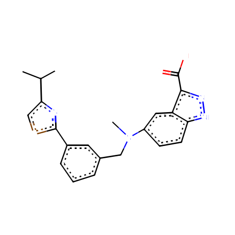 CC(C)c1csc(-c2cccc(CN(C)c3ccc4[nH]nc(C(=O)O)c4c3)c2)n1